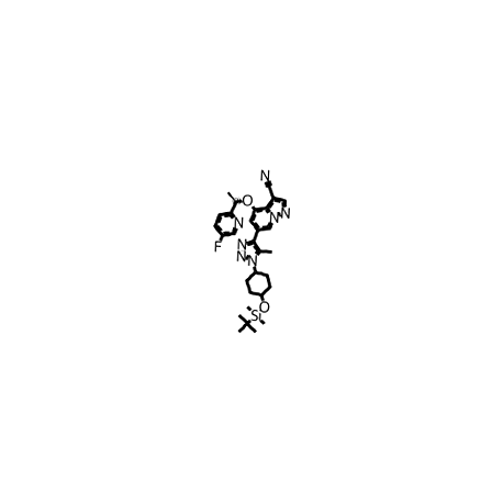 Cc1c(-c2cc(O[C@H](C)c3ccc(F)cn3)c3c(C#N)cnn3c2)nnn1C1CCC(O[Si](C)(C)C(C)(C)C)CC1